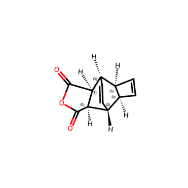 O=C1OC(=O)[C@H]2[C@@H]3C=C[C@H]([C@@H]4C=C[C@@H]43)[C@@H]12